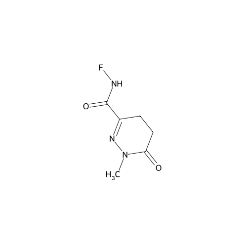 CN1N=C(C(=O)NF)CCC1=O